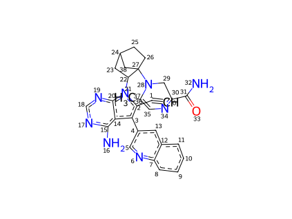 C#Cc1c(-c2cnc3ccccc3c2)c2c(N)ncnc2n1C1CC2CCC1(N1CC(C(N)=O)=NC=C1C)C2